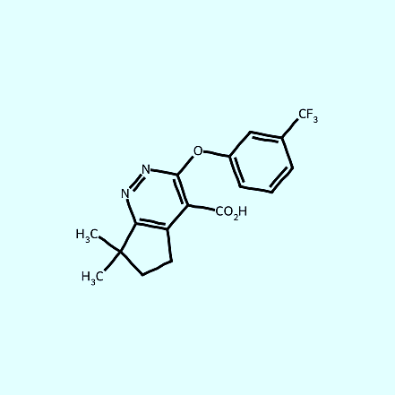 CC1(C)CCc2c1nnc(Oc1cccc(C(F)(F)F)c1)c2C(=O)O